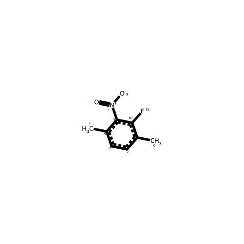 Cc1ccc(C)c([N+](=O)[O-])c1F